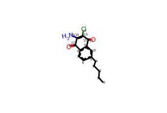 CCCCCc1ccc2c(c1)C(=O)C(Cl)=C(N)C2=O